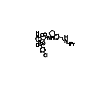 CC(C)CNCCc1ccc2c(c1)CCC[C@H]2NC(=O)C[C@@H]1C(=O)NCCN1S(=O)(=O)c1ccc(Cl)cc1